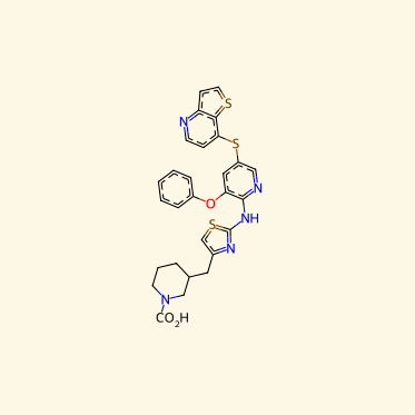 O=C(O)N1CCCC(Cc2csc(Nc3ncc(Sc4ccnc5ccsc45)cc3Oc3ccccc3)n2)C1